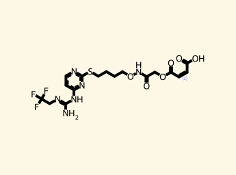 NC(=NCC(F)(F)F)Nc1ccnc(SCCCCONC(=O)COC(=O)/C=C\C(=O)O)n1